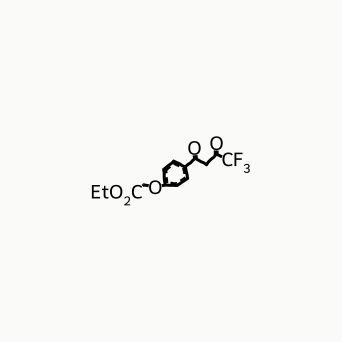 CCOC(=O)COc1ccc(C(=O)CC(=O)C(F)(F)F)cc1